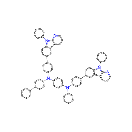 c1ccc(-c2ccc(N(c3ccc(-c4ccc5c(c4)c4cccnc4n5-c4ccccc4)cc3)c3ccc(N(c4ccccc4)c4ccc(-c5ccc6c(c5)c5cccnc5n6-c5ccccc5)cc4)cc3)cc2)cc1